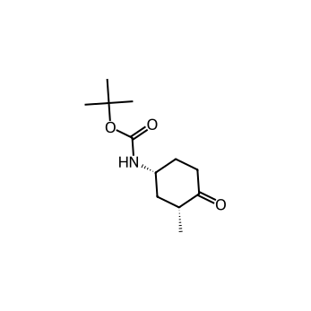 C[C@@H]1C[C@H](NC(=O)OC(C)(C)C)CCC1=O